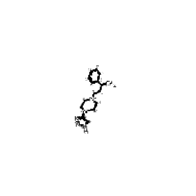 C=C(CCN1CCN(c2c[nH]nn2)CC1)c1ccccc1